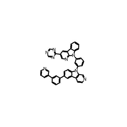 c1cncc(-c2cccc(-c3ccc4c(c3)c3ccncc3n4-c3cccc(-n4c5ccccc5c5cc(-c6ncncn6)cnc54)c3)c2)c1